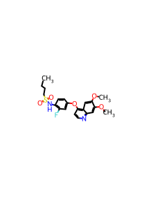 CCCCS(=O)(=O)Nc1ccc(Oc2ccnc3cc(OC)c(OC)cc23)cc1F